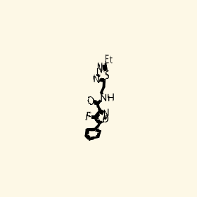 CCc1nnc(CCNC(=O)c2noc(-c3ccccc3)c2F)s1